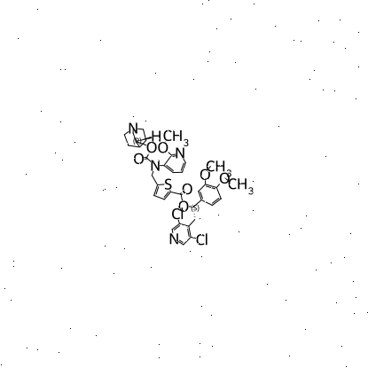 COc1ccc([C@H](Cc2c(Cl)cncc2Cl)OC(=O)c2ccc(CN(C(=O)O[C@H]3CN4CCC3CC4)c3cccnc3OC)s2)cc1OC